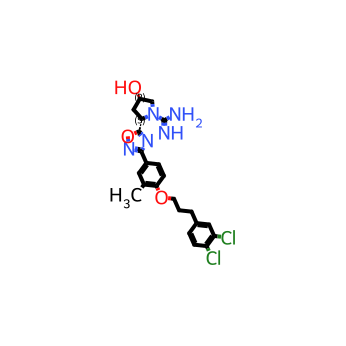 Cc1cc(-c2noc([C@@H]3C[C@@H](O)CN3C(=N)N)n2)ccc1OCCCc1ccc(Cl)c(Cl)c1